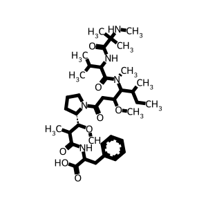 CCC(C)C(C(CC(=O)N1CCC[C@H]1C(OC)C(C)C(=O)NC(Cc1ccccc1)C(=O)O)OC)N(C)C(=O)C(NC(=O)C(C)(C)NC)C(C)C